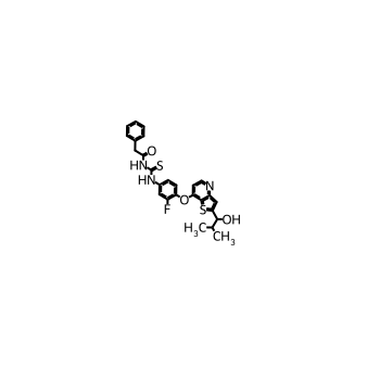 CC(C)C(O)c1cc2nccc(Oc3ccc(NC(=S)NC(=O)Cc4ccccc4)cc3F)c2s1